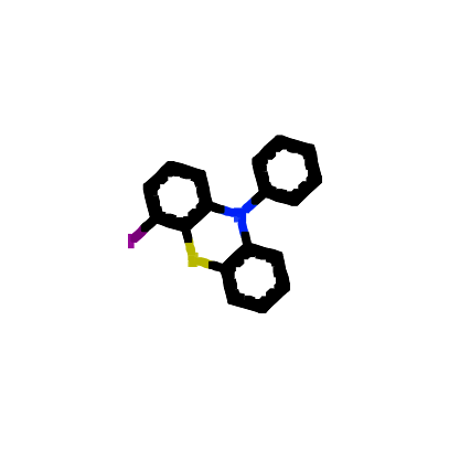 Ic1cccc2c1Sc1ccccc1N2c1ccccc1